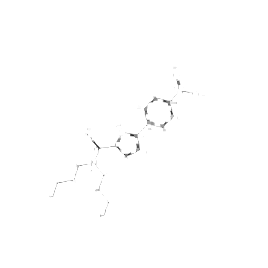 CCCCN(CCCC)C(=N)c1ccc(-c2ccc([N+](=O)[O-])cc2)o1